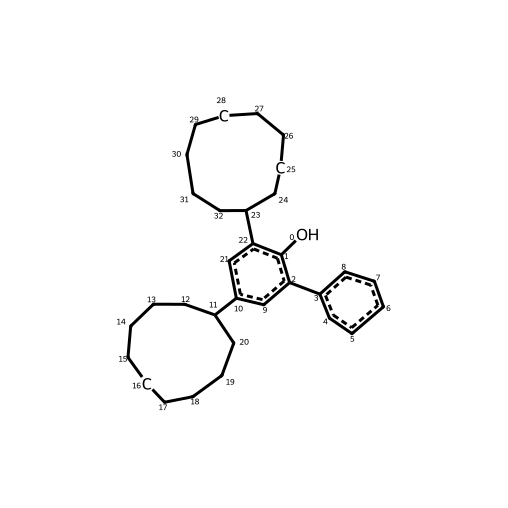 Oc1c(-c2ccccc2)cc(C2CCCCCCCCC2)cc1C1CCCCCCCCC1